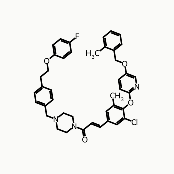 Cc1ccccc1COc1ccc(Oc2c(C)cc(C=CC(=O)N3CCN(Cc4ccc(CCOc5ccc(F)cc5)cc4)CC3)cc2Cl)nc1